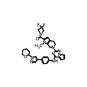 Cn1c(C(=O)N2CC(F)(F)C2)cc2c1CN(c1nc(Nc3ccc(-c4cnn(C5CCCCO5)c4)cc3)c3cccn3n1)CC2